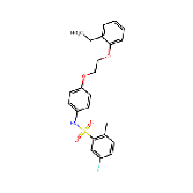 Cc1ccc(F)cc1S(=O)(=O)Nc1ccc(OCCOc2ccccc2CC(=O)O)cc1